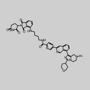 CC(=O)N1CCn2c(C3CCOCC3)nc(-c3cccc4cc(-c5ccc(C(=O)NCCCCNc6cccc7c6C(=O)N(C6CCC(=O)NC6=O)C7=O)nc5)ncc34)c2C1